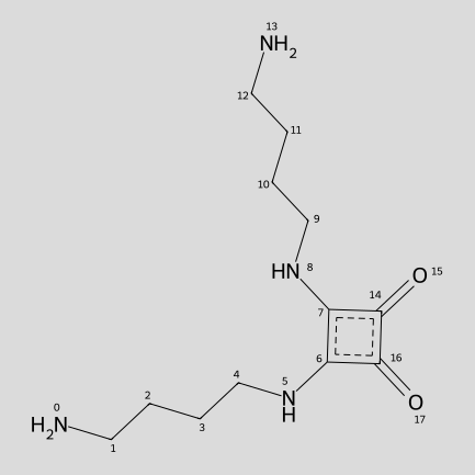 NCCCCNc1c(NCCCCN)c(=O)c1=O